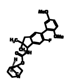 COc1ccc(OC)c(-c2cc3c(cc2F)C(NC(=O)O[C@H]2CN4CCC2CC4)C(C)(C)C3)c1